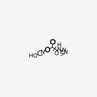 CC(C)(C(=O)Nc1nncs1)C(c1ccccc1)c1ccc(N2CCC(O)CC2)cc1